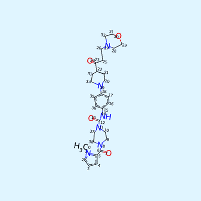 Cn1cccc1C(=O)N1CCN(C(=O)Nc2ccc(N3CCC(C(=O)CCN4CCOCC4)CC3)cc2)CC1